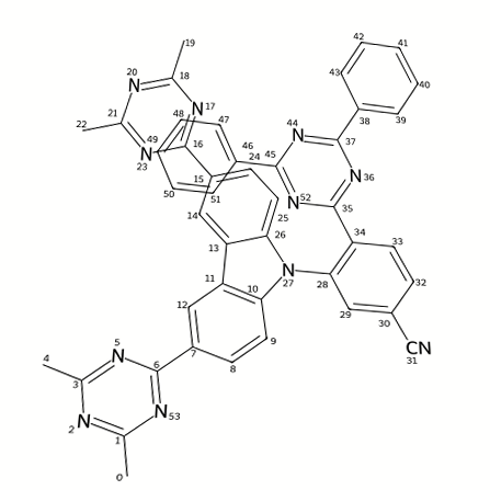 Cc1nc(C)nc(-c2ccc3c(c2)c2cc(-c4nc(C)nc(C)n4)ccc2n3-c2cc(C#N)ccc2-c2nc(-c3ccccc3)nc(-c3ccccc3)n2)n1